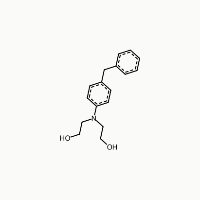 OCCN(CCO)c1ccc(Cc2ccccc2)cc1